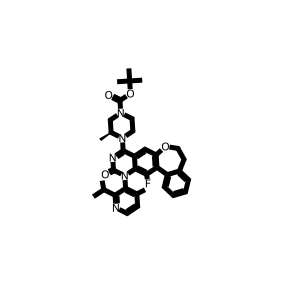 Cc1ccnc(C(C)C)c1-n1c(=O)nc(N2CCN(C(=O)OC(C)(C)C)C[C@@H]2C)c2cc3c(c(F)c21)-c1ccccc1CCO3